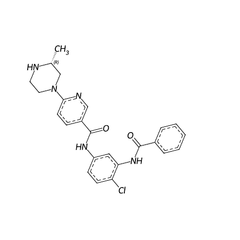 C[C@@H]1CN(c2ccc(C(=O)Nc3ccc(Cl)c(NC(=O)c4ccccc4)c3)cn2)CCN1